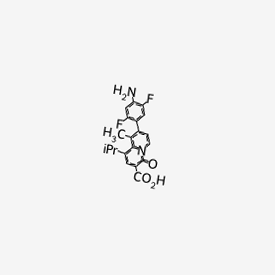 Cc1c(-c2cc(F)c(N)cc2F)ccn2c(=O)c(C(=O)O)cc(C(C)C)c12